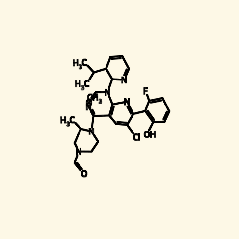 C/N=C(\c1cc(Cl)c(-c2c(O)cccc2F)nc1N(C=O)C1N=CC=CC1C(C)C)N1CCN(C=O)CC1C